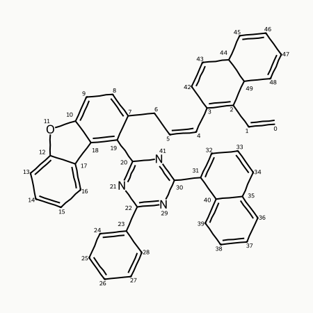 C=CC1=C(/C=C\Cc2ccc3oc4ccccc4c3c2-c2nc(-c3ccccc3)nc(-c3cccc4ccccc34)n2)C=CC2C=CC=CC12